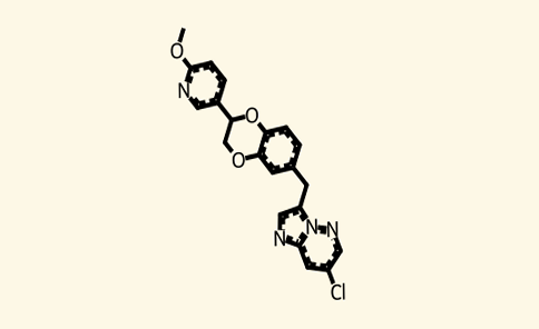 COc1ccc(C2COc3cc(Cc4cnc5cc(Cl)cnn45)ccc3O2)cn1